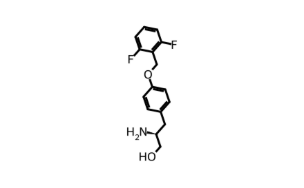 N[C@H](CO)Cc1ccc(OCc2c(F)cccc2F)cc1